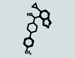 Cc1ccc(C2CCC(C(O)c3c(C4CC4)ccn4cncc34)CC2)cc1